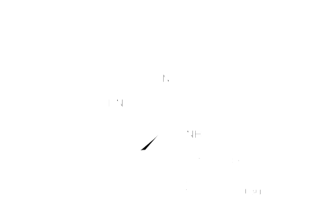 CC(C)(C)OC(=O)N[C@@H](Cc1ccccc1)c1nc2ccccc2[nH]1